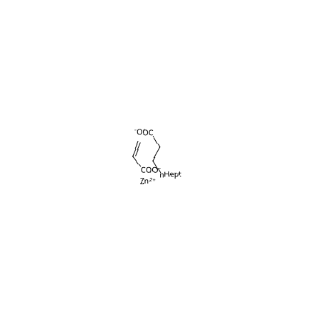 C=CC(=O)[O-].CCCCCCCCCC(=O)[O-].[Zn+2]